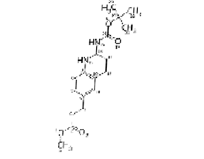 COC(=O)CCc1ccc2c(c1)CC[C@H](NC(=O)OC(C)(C)C)N2